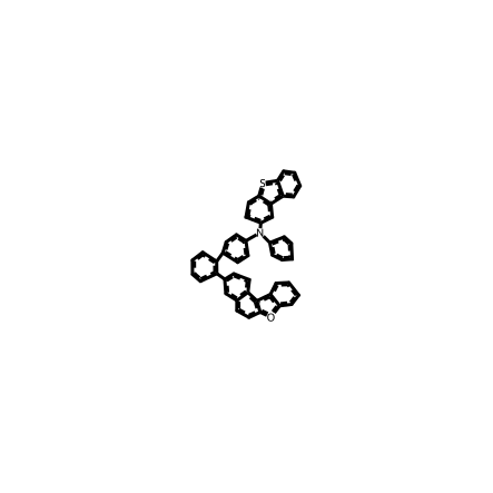 c1ccc(N(c2ccc(-c3ccccc3-c3ccc4c(ccc5oc6ccccc6c54)c3)cc2)c2ccc3sc4ccccc4c3c2)cc1